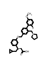 COc1ccc(F)c(-c2ccc(COc3cccc([C@@H](CC(=O)O)CC4CC4)c3)cc2CN2CCCC2)c1